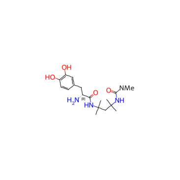 CNC(=O)NC(C)(C)CC(C)(C)NC(=O)[C@H](N)Cc1ccc(O)c(O)c1